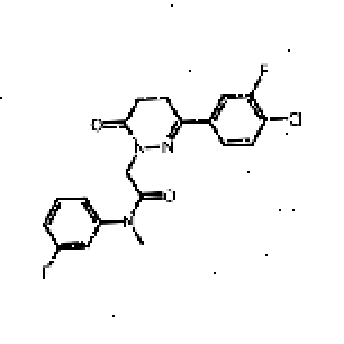 CN(C(=O)CN1N=C(c2ccc(Cl)c(F)c2)CCC1=O)c1cccc(F)c1